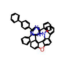 C1=c2oc3ccc4c5ccccc5n(-c5cccc(-c6ccccc6)c5)c4c3c2=C(c2nc(-c3ccccc3)nc(-c3ccc(-c4ccccc4)cc3)n2)CC1